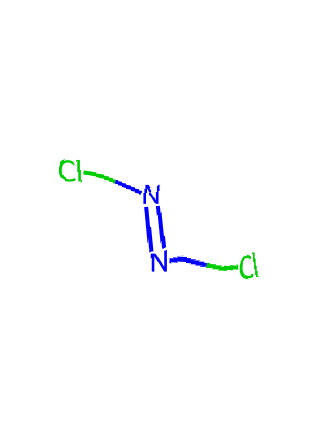 Cl/N=N/Cl